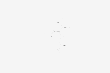 CCN(CC)C(=O)ON=C(C(=O)N(C)C)C(C)=NOC